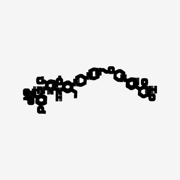 CCc1cc(Nc2ncc(Cl)c(Nc3ccc(OC)cc3N(C)S(C)(=O)=O)n2)c(OC)cc1N1CCC(N2CCN(CCOC3CCN(c4ccc(C5CCC(=O)NC5=O)nc4)CC3)CC2)CC1